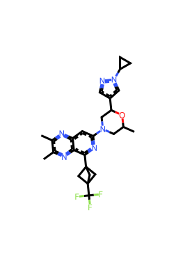 Cc1nc2cc(N3CC(C)OC(c4cnn(C5CC5)c4)C3)nc(C34CC(C(F)(F)F)(C3)C4)c2nc1C